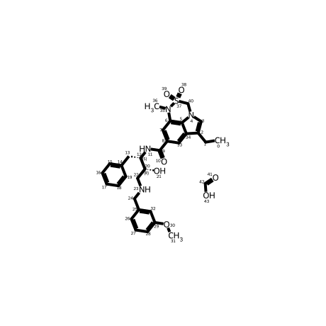 CCc1cn2c3c(cc(C(=O)N[C@@H](Cc4ccccc4)[C@H](O)CNCc4cccc(OC)c4)cc13)N(C)S(=O)(=O)C2.O=CO